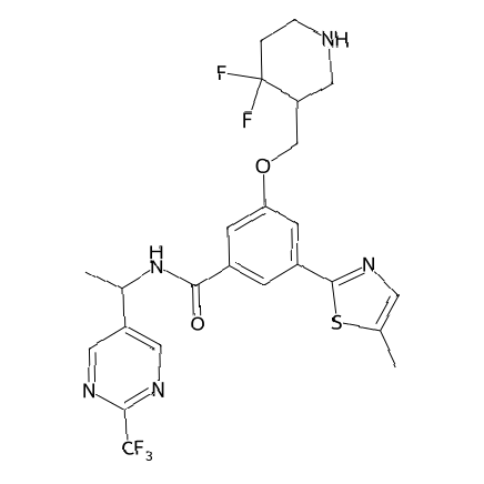 Cc1cnc(-c2cc(OCC3CNCCC3(F)F)cc(C(=O)NC(C)c3cnc(C(F)(F)F)nc3)c2)s1